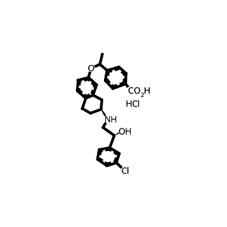 CC(Oc1ccc2c(c1)C[C@@H](NC[C@H](O)c1cccc(Cl)c1)CC2)c1ccc(C(=O)O)cc1.Cl